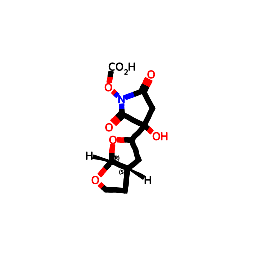 O=C(O)ON1C(=O)CC(O)(C2C[C@@H]3CCO[C@@H]3O2)C1=O